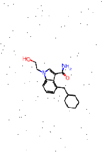 NC(=O)c1cn(CCO)c2cccc(CC3CCCCC3)c12